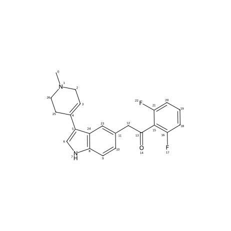 CN1CC=C(c2c[nH]c3ccc(CC(=O)c4c(F)cccc4F)cc23)CC1